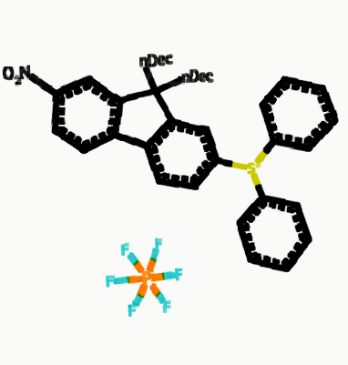 CCCCCCCCCCC1(CCCCCCCCCC)c2cc([N+](=O)[O-])ccc2-c2ccc([S+](c3ccccc3)c3ccccc3)cc21.F[P-](F)(F)(F)(F)F